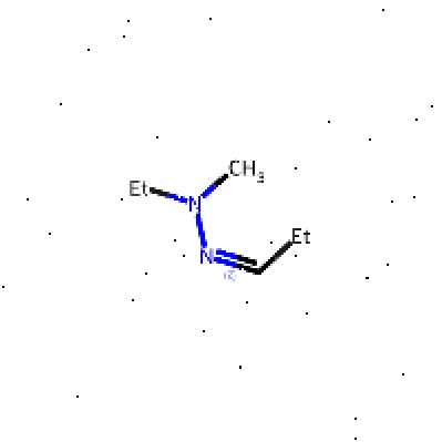 CC/C=N\N(C)CC